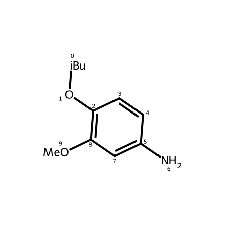 CCC(C)Oc1ccc(N)cc1OC